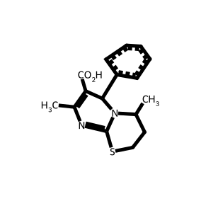 CC1=C(C(=O)O)C(c2ccccc2)N2C(=N1)SCCC2C